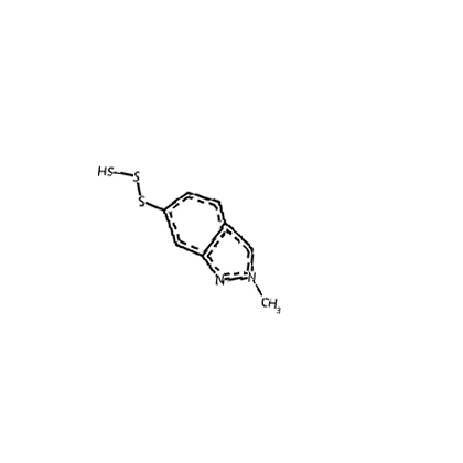 Cn1cc2ccc(SSS)cc2n1